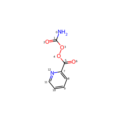 NC(=O)OOC(=O)c1ccccn1